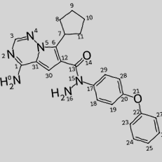 Nc1ncnn2c(C3CCCC3)c(C(=O)N(N)c3ccc(Oc4ccccc4)cc3)cc12